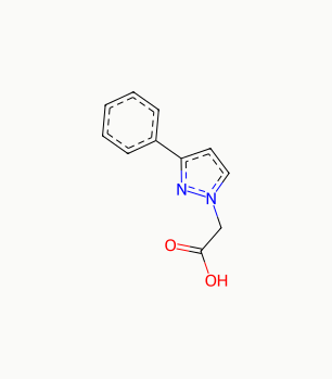 O=C(O)Cn1ccc(-c2ccccc2)n1